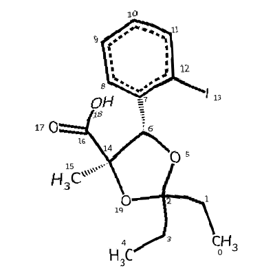 CCC1(CC)O[C@@H](c2ccccc2I)[C@](C)(C(=O)O)O1